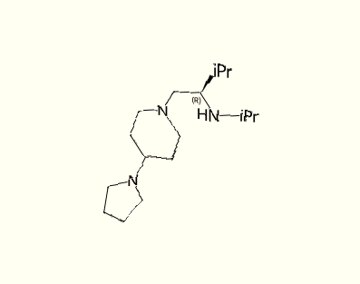 CC(C)N[C@@H](CN1CCC(N2CCCC2)CC1)C(C)C